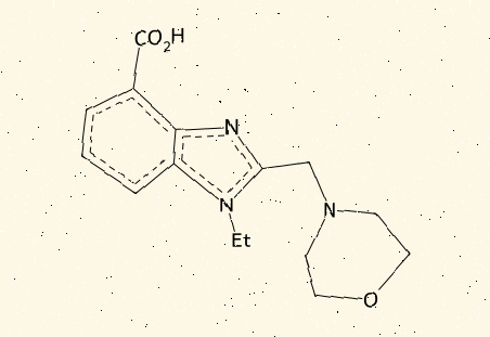 CCn1c(CN2CCOCC2)nc2c(C(=O)O)cccc21